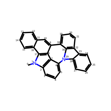 Cn1c2cccc3c2c2c(cc4ccccc4c21)c1cccc2c4ccccc4n3c12